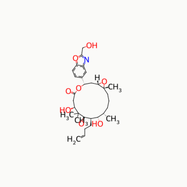 C=CCC[C@H]1C(=O)C(C)(C)[C@@H](O)CC(=O)O[C@H](c2ccc3oc(CO)nc3c2)C[C@@H]2O[C@]2(C)CCC[C@H](C)[C@@H]1O